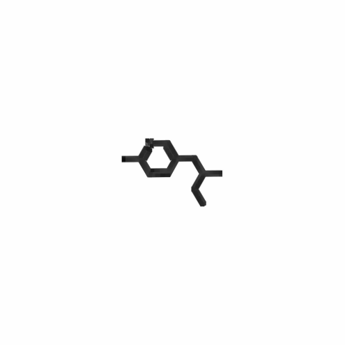 CCC(C)Cc1ccc(C)nc1